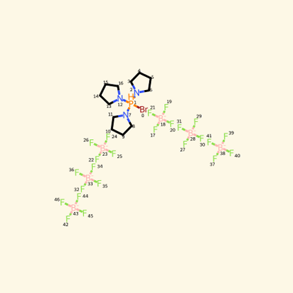 Br[PH](N1CCCC1)(N1CCCC1)N1CCCC1.F[B-](F)(F)F.F[B-](F)(F)F.F[B-](F)(F)F.F[B-](F)(F)F.F[B-](F)(F)F.F[B-](F)(F)F